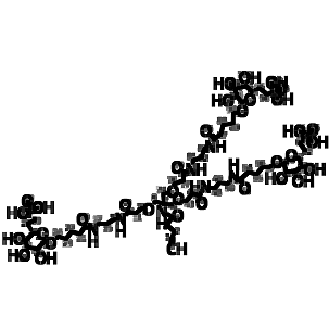 C#CCCC(=O)NC(COCCC(=O)NCCCNC(=O)CCCCO[C@H]1O[C@H](CCP(=O)(O)O)[C@@H](O)[C@H](O)[C@@H]1O)(COCCC(=O)NCCCNC(=O)CCCCO[C@H]1O[C@H](CCP(=O)(O)O)[C@@H](O)[C@H](O)[C@@H]1O)COCCC(=O)NCCCNC(=O)CCCCO[C@H]1O[C@H](CCP(=O)(O)O)[C@@H](O)[C@H](O)[C@@H]1O